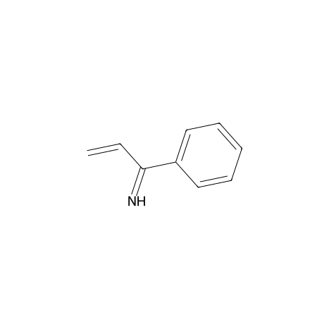 C=CC(=N)c1ccccc1